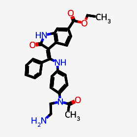 CCOC(=O)c1ccc2c(c1)NC(=O)C2=C(Nc1ccc(N(CCN)C(C)=O)cc1)c1ccccc1